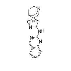 c1ccc2nc(NC3=NO[C@@]4(C3)CN3CCC4CC3)ncc2c1